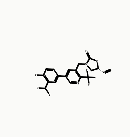 C=C[C@@H]1CN(Cc2cc(-c3ccc(F)c(C(F)F)c3)cnc2C(C)(F)F)C(=O)O1